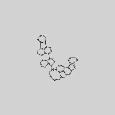 C=C1/C=C\C=C/CN(c2ccc(-c3ccc4c5c(cccc35)-c3ccccc3-4)c3ccccc23)c2ccc3c(ccc4sc5ccccc5c43)c21